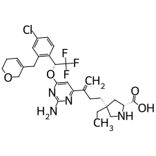 C=C(CC[C@@]1(CC)CN[C@@H](C(=O)O)C1)c1cc(O[C@H](c2ccc(Cl)cc2CC2=CCCOC2)C(F)(F)F)nc(N)n1